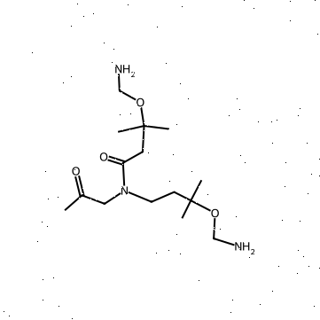 CC(=O)CN(CCC(C)(C)OCN)C(=O)CC(C)(C)OCN